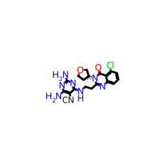 N#Cc1c(N)nc(N)nc1NCCc1nc2cccc(Cl)c2c(=O)n1[C@@H]1CCOC1